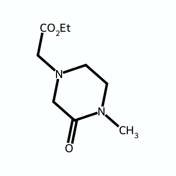 CCOC(=O)CN1CCN(C)C(=O)C1